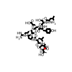 CC(C)C[C@H](NC(=O)[C@@H]1CCCN1C(=O)[C@H](CCCNC(=N)N)NC(=O)[C@H](CCC(=O)O)NC(=O)[C@H](Cc1ccc(O)cc1)NC(=O)[C@@H](NC(=O)[C@@H](N)CC(C)C)[C@@H](C)O)C(=O)N[C@H](C(=O)N[C@H](C(=O)O)[C@@H](C)O)C(C)C